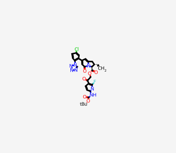 C=C[C@H]1Cc2cc(-c3cc(Cl)ccc3-n3cnnn3)cc(=O)n2[C@@H]1C(=O)OCC(=O)c1ccc(NC(=O)OC(C)(C)C)nc1F